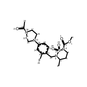 COC(=O)N1CCC(C)N(Cc2ccc(N3CCN(C(C)=O)CC3)cc2F)S1(=O)=O